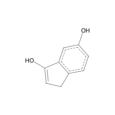 OC1=CCc2ccc(O)cc21